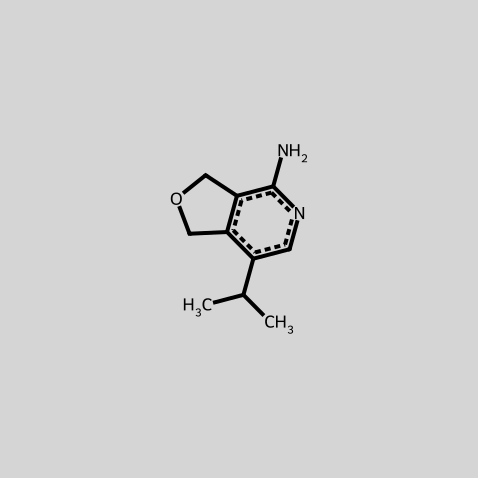 CC(C)c1cnc(N)c2c1COC2